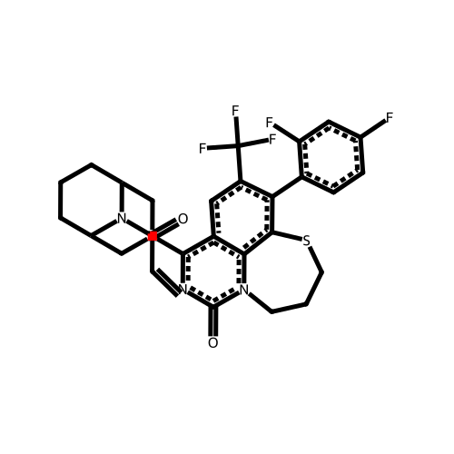 C=CC(=O)N1C2CCCC1CN(c1nc(=O)n3c4c(c(-c5ccc(F)cc5F)c(C(F)(F)F)cc14)SCCC3)C2